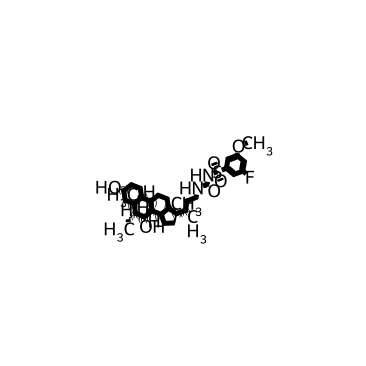 CC[C@H]1[C@@H](O)[C@@H]2[C@H](CC[C@]3(C)[C@@H]([C@H](C)CCNC(=O)NS(=O)(=O)c4cc(F)cc(OC)c4)CC[C@@H]23)[C@@]2(C)CC[C@@H](O)C[C@@H]12